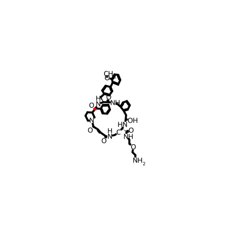 COc1ccccc1-c1ccc(C[C@@H]2NC(=O)[C@]3(Cc4ccccc4)CCCN(C3)C(=O)/C=C/C(=O)NCC[C@@H](C(=O)NCCOCCN)NC(O)Cc3ccccc3CNC2=O)cc1